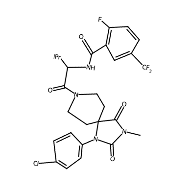 CC(C)C(NC(=O)c1cc(C(F)(F)F)ccc1F)C(=O)N1CCC2(CC1)C(=O)N(C)C(=O)N2c1ccc(Cl)cc1